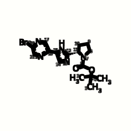 CC(C)(C)OC(=O)N1CCC[C@H]1c1ncc(-c2cnc(Br)cn2)[nH]1